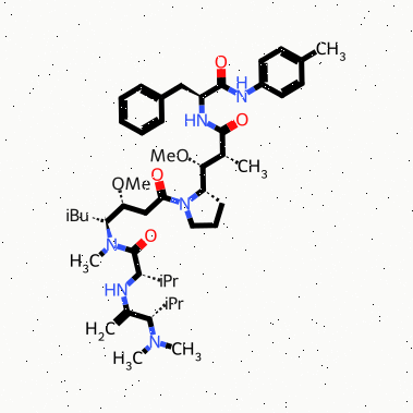 C=C(N[C@H](C(=O)N(C)[C@@H]([C@@H](C)CC)[C@@H](CC(=O)N1CCC[C@H]1[C@H](OC)[C@@H](C)C(=O)N[C@@H](Cc1ccccc1)C(=O)Nc1ccc(C)cc1)OC)C(C)C)[C@H](C(C)C)N(C)C